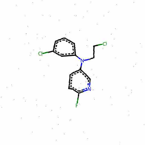 Fc1ccc(N(CCCl)c2cccc(Cl)c2)cn1